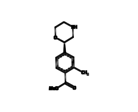 COC(=O)c1ccc([C@@H]2CNCCO2)cc1C